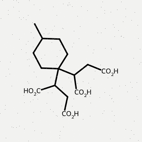 CC1CCC(C(CC(=O)O)C(=O)O)(C(CC(=O)O)C(=O)O)CC1